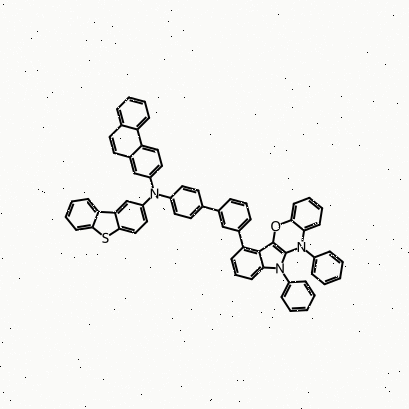 c1ccc(N2c3ccccc3Oc3c2n(-c2ccccc2)c2cccc(-c4cccc(-c5ccc(N(c6ccc7c(ccc8ccccc87)c6)c6ccc7sc8ccccc8c7c6)cc5)c4)c32)cc1